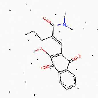 CCC/C(=C\C1=C(OC)C(=O)c2ccccc2C1=O)C(=O)N(C)C